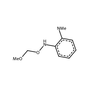 CNc1ccccc1NOCOC